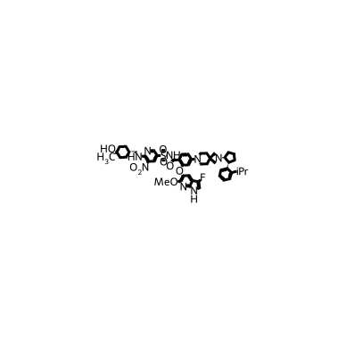 COc1nc2[nH]cc(F)c2cc1Oc1cc(N2CCC3(CC2)CN([C@@H]2CCC[C@@H]2c2ccccc2C(C)C)C3)ccc1C(=O)NS(=O)(=O)c1cnc(NC[C@H]2CC[C@](C)(O)CC2)c([N+](=O)[O-])c1